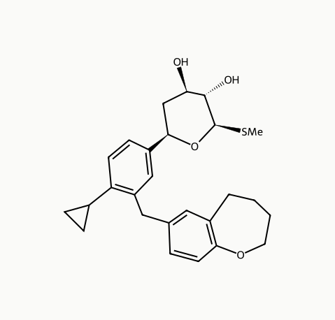 CS[C@H]1O[C@@H](c2ccc(C3CC3)c(Cc3ccc4c(c3)CCCCO4)c2)C[C@@H](O)[C@@H]1O